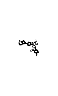 O=C1NC(=O)[C@@](CN2Cc3ccc(F)cc3C2=O)(c2ccc(-c3ccc4ncccc4c3)cc2)N1